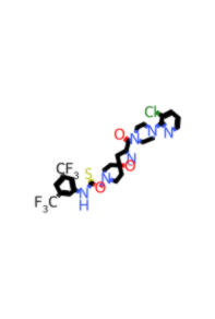 O=C(C1=NOC2(CCN(OC(=S)Nc3cc(C(F)(F)F)cc(C(F)(F)F)c3)CC2)C1)N1CCN(c2ncccc2Cl)CC1